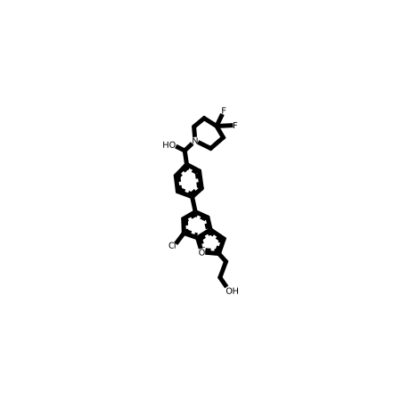 OCCc1cc2cc(-c3ccc(C(O)N4CCC(F)(F)CC4)cc3)cc(Cl)c2o1